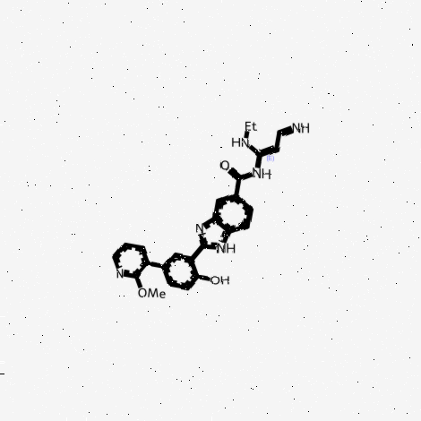 CCN/C(=C\C=N)NC(=O)c1ccc2[nH]c(-c3cc(-c4cccnc4OC)ccc3O)nc2c1